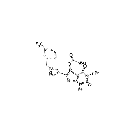 CCCn1c(=O)c2c(nc(-c3cnn(Cc4cccc(C(F)(F)F)c4)c3)n2OC(=O)C(C)CC)n(CC)c1=O